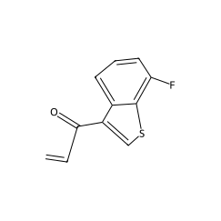 C=CC(=O)c1csc2c(F)cccc12